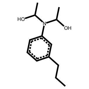 CCCc1cccc(N(C(C)O)C(C)O)c1